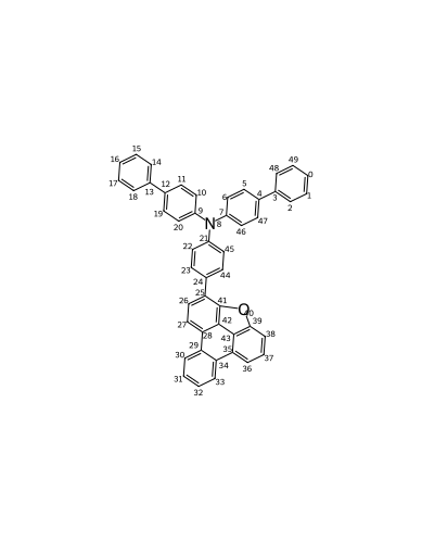 c1ccc(-c2ccc(N(c3ccc(-c4ccccc4)cc3)c3ccc(-c4ccc5c6ccccc6c6cccc7oc4c5c76)cc3)cc2)cc1